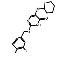 O=c1[nH]c(SCc2ccc(F)c(F)c2)ncc1OC1CCCCO1